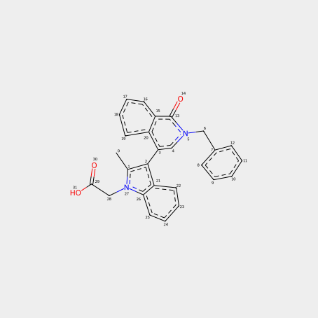 Cc1c(-c2cn(Cc3ccccc3)c(=O)c3ccccc23)c2ccccc2n1CC(=O)O